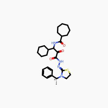 C[C@H](c1ccccc1)N1CCSC1=NNC(=O)C(=O)C(NC(=O)C1CCCCCC1)C1CCCCC1